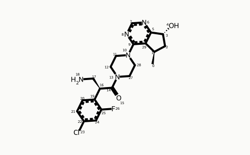 C[C@@H]1C[C@@H](O)c2ncnc(N3CCN(C(=O)[C@H](CN)c4ccc(Cl)cc4F)CC3)c21